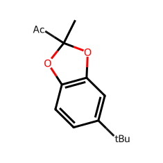 CC(=O)C1(C)Oc2ccc(C(C)(C)C)cc2O1